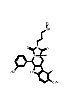 CCNCCCN1C(=O)N2[C@H](c3cccc(O)c3)c3[nH]c4ccc(OC)c(F)c4c3C[C@@]2(C)C1=O